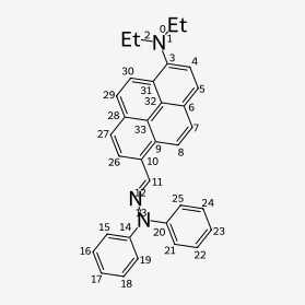 CCN(CC)c1ccc2ccc3c(C=NN(c4ccccc4)c4ccccc4)ccc4ccc1c2c43